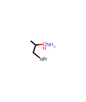 CCCCC(C)O.N